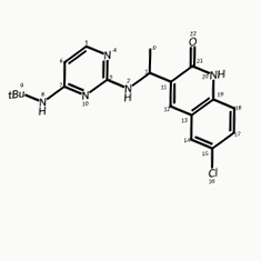 CC(Nc1nccc(NC(C)(C)C)n1)c1cc2cc(Cl)ccc2[nH]c1=O